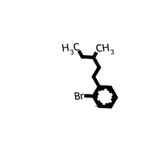 CCC(C)CCc1ccc[c]c1Br